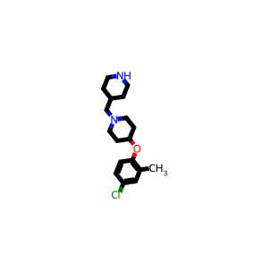 Cc1cc(Cl)ccc1OC1CCN(CC2CCNCC2)CC1